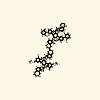 Cc1cccc(C)c1-c1ccc2c(c1)c1c3c4c(c5cc(-c6c(C)cccc6C)ccc5n4c4nc5c6c(ccc5n34)CCC(C3CCc4ccc5c(nc7n5c5c8c9cc(C(C)(C)C)cc(C)c9n9c8c(c8c%10cc(C(C)(C)C)cc(C)c%10n7c85)n5c7ccc8c(c7nc59)CCCCC8)c4C3)C6)c3c1n2c1nc2c4c(ccc2n31)CCCC4